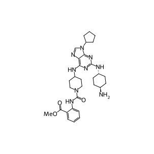 COC(=O)c1ccccc1NC(=O)N1CCC(Nc2nc(N[C@H]3CC[C@H](N)CC3)nc3c2ncn3C2CCCC2)CC1